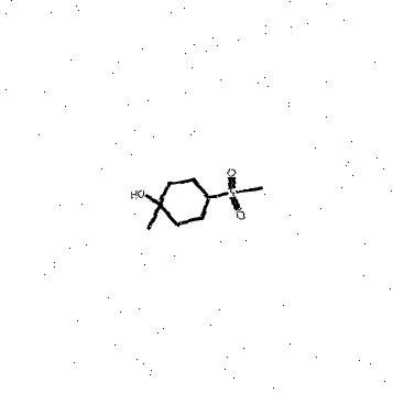 CC1(O)CCC(S(C)(=O)=O)CC1